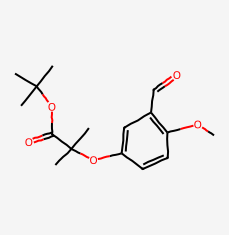 COc1ccc(OC(C)(C)C(=O)OC(C)(C)C)cc1C=O